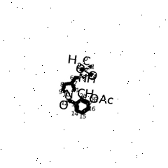 C=CS(=O)(=O)NCC1CCN(C(=O)c2cccc(OC(C)=O)c2C)C1